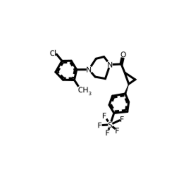 Cc1ccc(Cl)cc1N1CCN(C(=O)C2C[C@H]2c2ccc(S(F)(F)(F)(F)F)cc2)CC1